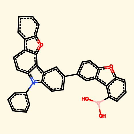 OB(O)c1cccc2oc3ccc(-c4ccc5c(c4)c4c6oc7ccccc7c6ccc4n5-c4ccccc4)cc3c12